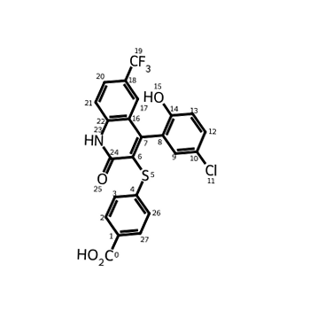 O=C(O)c1ccc(Sc2c(-c3cc(Cl)ccc3O)c3cc(C(F)(F)F)ccc3[nH]c2=O)cc1